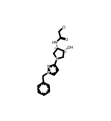 O=C(CCl)N[C@H]1CN(c2ccn(Cc3ccccc3)n2)C[C@H]1O